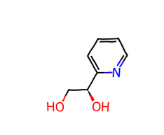 OC[C@H](O)c1ccccn1